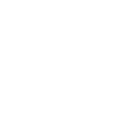 C=CCC1(CC=C)[N]CCO1